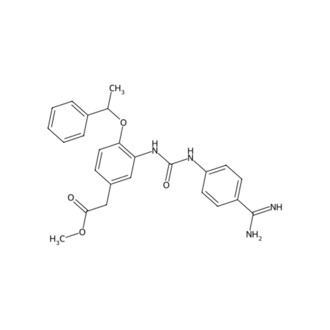 COC(=O)Cc1ccc(OC(C)c2ccccc2)c(NC(=O)Nc2ccc(C(=N)N)cc2)c1